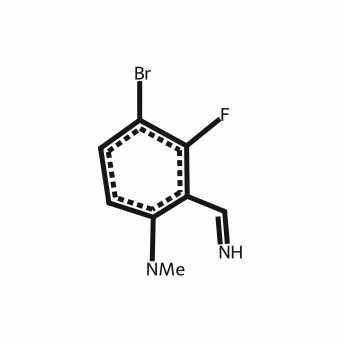 CNc1ccc(Br)c(F)c1C=N